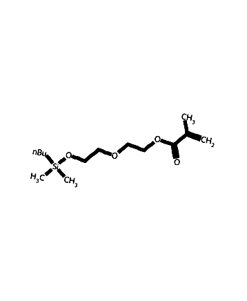 C=C(C)C(=O)OCCOCCO[Si](C)(C)CCCC